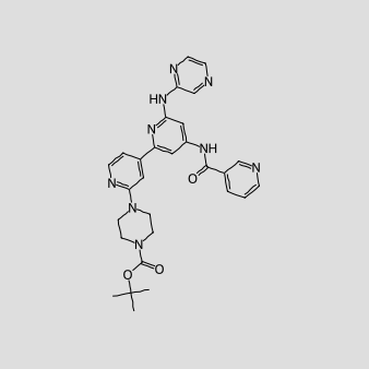 CC(C)(C)OC(=O)N1CCN(c2cc(-c3cc(NC(=O)c4cccnc4)cc(Nc4cnccn4)n3)ccn2)CC1